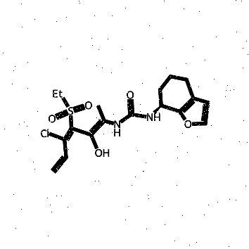 C=C/C(Cl)=C(\C(O)=C(/C)NC(=O)N[C@H]1CCCc2ccoc21)S(=O)(=O)CC